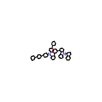 C1=CCC(c2ccc(N(c3ccc(-c4ccc(-c5ccccc5)cc4)cc3)c3ccccc3-c3cccc(-c4cccc5c4c4ccccc4n5-c4cccc5ccccc45)c3)cc2)C=C1